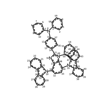 c1ccc(N(c2ccccc2)c2ccc(-c3nc4c(-n5c6ccccc6c6ccccc65)ccc(-n5c6ccccc6c6ccccc65)c4n3-c3ccccc3)cc2)cc1